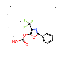 O=C(O)Oc1oc(-c2ccccc2)nc1C(F)(F)F